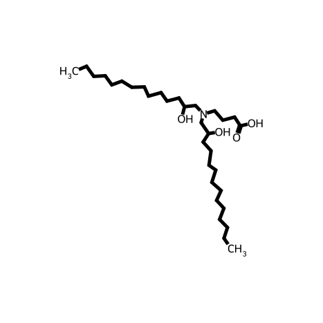 CCCCCCCCCCCCC(O)CN(CCCC(=O)O)CC(O)CCCCCCCCCCCC